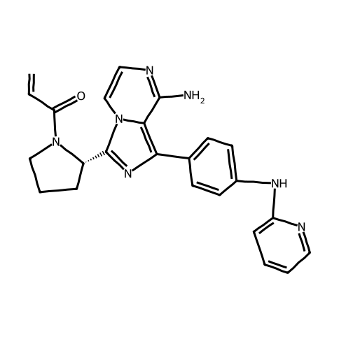 C=CC(=O)N1CCC[C@H]1c1nc(-c2ccc(Nc3ccccn3)cc2)c2c(N)nccn12